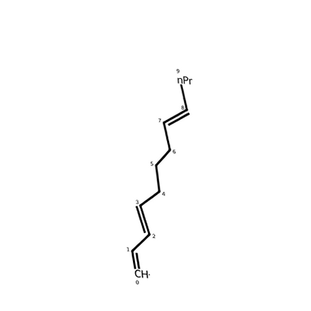 [CH]=CC=CCCCC=CCCC